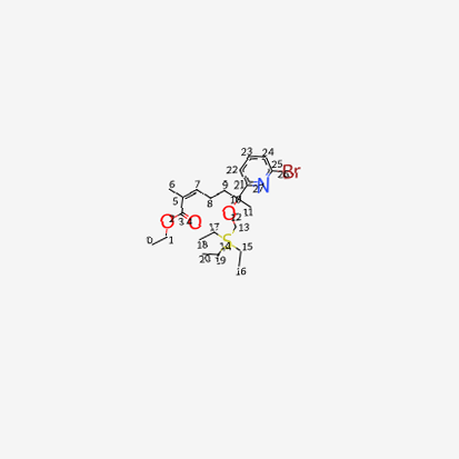 CCOC(=O)/C(C)=C\CCC(C)(OCS(CC)(CC)CC)c1cccc(Br)n1